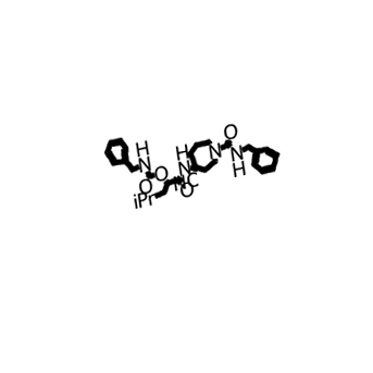 CC(C)CC(OC(=O)NCc1ccccc1)C(=O)NC1(C#N)CCCN(C(=O)NCc2ccccc2)CC1